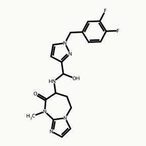 CN1C(=O)C(NC(O)c2ccn(Cc3ccc(F)c(F)c3)n2)CCn2ccnc21